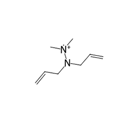 C=CCN(CC=C)[N+](C)C